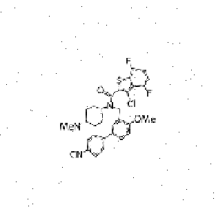 [C-]#[N+]c1ccc(-c2ccc(OC)c(CN(C(=O)c3sc4c(F)ccc(F)c4c3Cl)[C@H]3CC[C@H](NC)CC3)c2)cc1